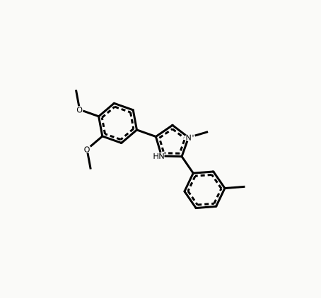 COc1ccc(-c2c[n+](C)c(-c3cccc(C)c3)[nH]2)cc1OC